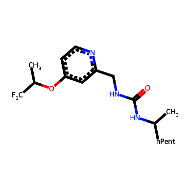 CCCCCC(C)NC(=O)NCc1cc(OC(C)C(F)(F)F)ccn1